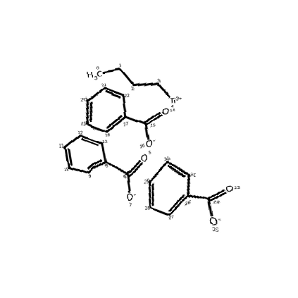 CCC[CH2][Ti+3].O=C([O-])c1ccccc1.O=C([O-])c1ccccc1.O=C([O-])c1ccccc1